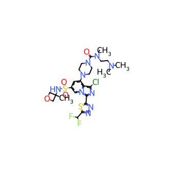 CN(C)CCN(C)C(=O)N1CCN(c2cc(S(=O)(=O)NC3(C)COC3)cn3c(-c4nnc(C(F)F)s4)nc(Cl)c23)CC1